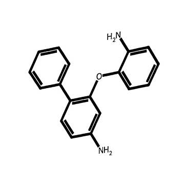 Nc1ccc(-c2ccccc2)c(Oc2ccccc2N)c1